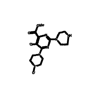 COC(=O)c1nc(N2CCNCC2)nc(N2CC[S+]([O-])CC2)c1Cl